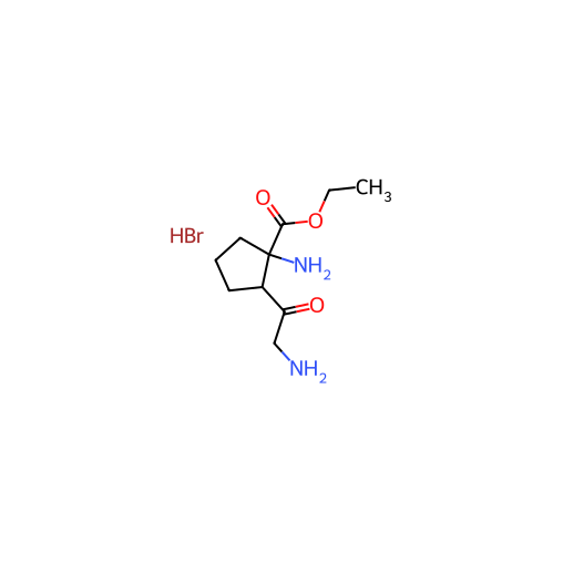 Br.CCOC(=O)C1(N)CCCC1C(=O)CN